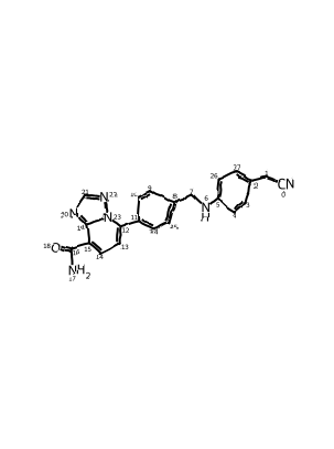 N#CCc1ccc(NCc2ccc(-c3ccc(C(N)=O)c4n[c]nn34)cc2)cc1